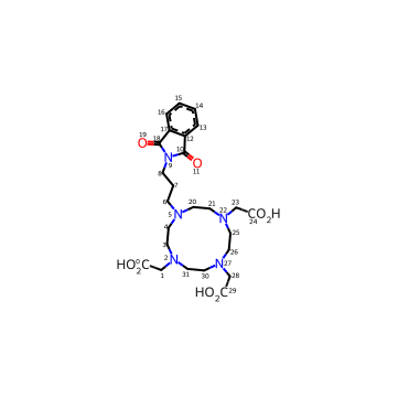 O=C(O)CN1CCN(CCCN2C(=O)c3ccccc3C2=O)CCN(CC(=O)O)CCN(CC(=O)O)CC1